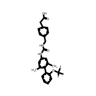 Cc1cc(NC(=O)NCc2ccc(CC(=O)O)cc2)cc(C)c1-c1ccccc1OC(F)(F)F